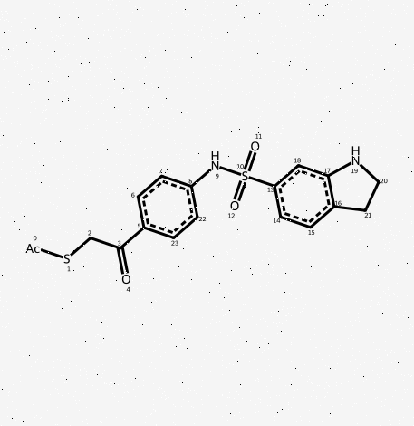 CC(=O)SCC(=O)c1ccc(NS(=O)(=O)c2ccc3c(c2)NCC3)cc1